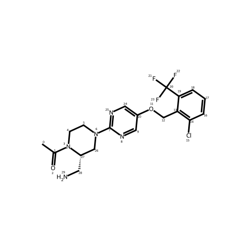 CC(=O)N1CCN(c2ncc(OCc3c(Cl)cccc3C(F)(F)F)cn2)C[C@@H]1CN